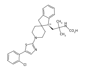 CC(C)(C[C@@H]1c2ccccc2CC12CCN(c1ncc(-c3ccccc3Cl)s1)CC2)NC(=O)O